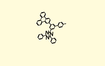 Cc1ccc(-c2cc(-c3ccc4c5ccccc5c5ccccc5c4c3)cc(-c3nc(-c4ccccc4)nc(-c4ccccc4)n3)c2)cc1